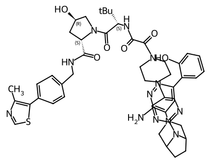 Cc1ncsc1-c1ccc(CNC(=O)[C@@H]2C[C@@H](O)CN2C(=O)[C@@H](NC(=O)C(=O)N2CCC(c3cnc(N4C5CCC4CN(c4cc(-c6ccccc6O)nnc4N)C5)nc3)CC2)C(C)(C)C)cc1